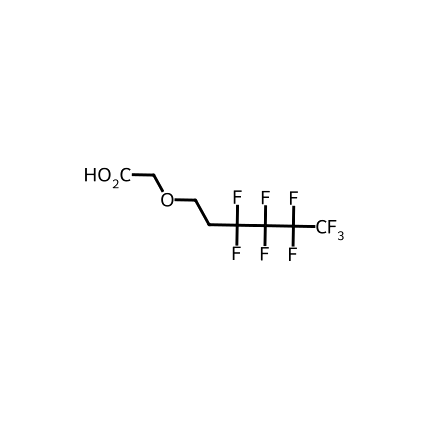 O=C(O)COCCC(F)(F)C(F)(F)C(F)(F)C(F)(F)F